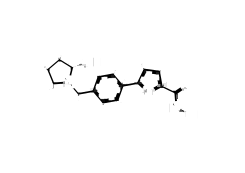 O=C(NO)c1ccc(-c2ccc(CN3CCC[C@H]3O)cc2)o1